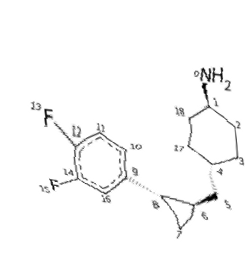 N[C@H]1CC[C@H](C[C@H]2C[C@@H]2c2ccc(F)c(F)c2)CC1